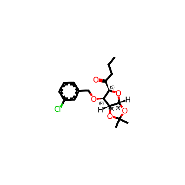 CCCC(=O)[C@H]1O[C@@H]2OC(C)(C)O[C@@H]2[C@H]1OCc1cccc(Cl)c1